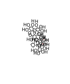 Cc1c2c3c(O)c(O)c(O)c(O)c3n(-c3ccccc3-n3c4c(O)c(O)c(O)c(O)c4c4c(O)c(O)c(O)c(O)c43)c2c(O)c2ooc3c(O)c(O)c(O)c4c5c(O)c(O)c(O)c(C)c5n(c12)c34